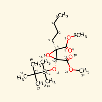 CCCC[C@@]1(C(=O)OC)O[C@]1(O[Si](C)(C)C(C)(C)C)C(=O)OC